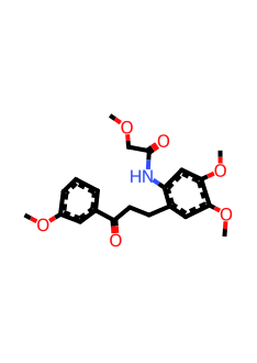 COCC(=O)Nc1cc(OC)c(OC)cc1CCC(=O)c1cccc(OC)c1